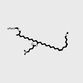 C=C=CCC/C=C\C/C=C\CCCCCCCCCC(CCCCCCCCC(C)C=C=CCCCCC)OC(=O)CCCN(C)C